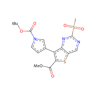 COC(=O)c1sc2cnc(S(C)(=O)=O)nc2c1-c1ccn(C(=O)OC(C)(C)C)c1